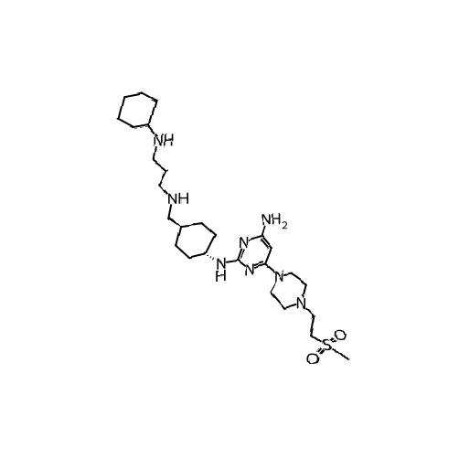 CS(=O)(=O)CCN1CCN(c2cc(N)nc(N[C@H]3CC[C@H](CNCCCNC4CCCCC4)CC3)n2)CC1